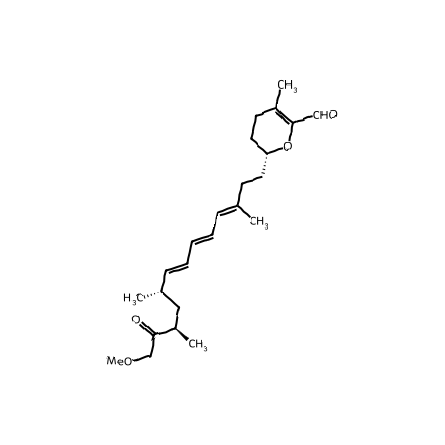 COCC(=O)[C@H](C)C[C@H](C)/C=C/C=C/C=C(\C)CC[C@@H]1CCC(C)=C(C=O)O1